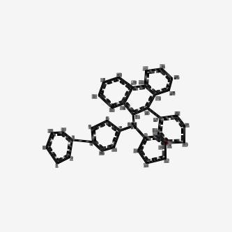 c1ccc(-c2ccc(N(c3ccccc3)c3c(-c4ccccc4)c4ccccc4c4ccccc34)cc2)cc1